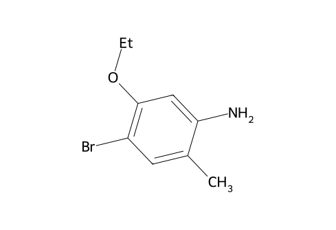 CCOc1cc(N)c(C)cc1Br